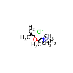 C=C(C)COC(C)C[N+](C)(C)C.[Cl-]